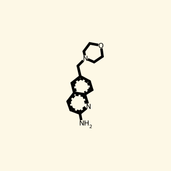 Nc1ccc2cc(CN3CCOCC3)ccc2n1